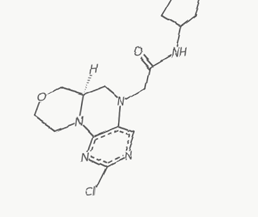 O=C(CN1C[C@@H]2COCCN2c2nc(Cl)ncc21)NC1CCOC1